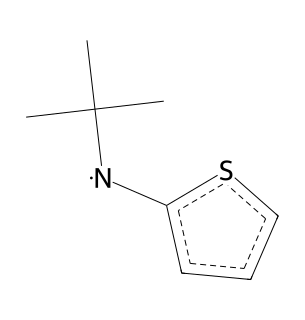 CC(C)(C)[N]c1cccs1